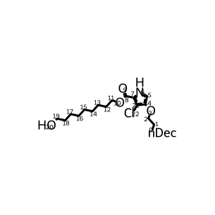 CCCCCCCCCCCCOc1c[nH]c(C(=O)OCCCCCCCCCO)c1Cl